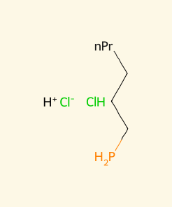 CCCCCCP.Cl.[Cl-].[H+]